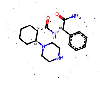 NC(=O)[C@@H](NC(=O)[C@H]1CCCC[C@@H]1N1CCNCC1)c1ccccc1